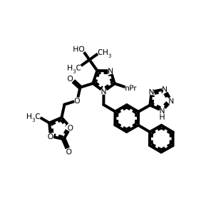 CCCc1nc(C(C)(C)O)c(C(=O)OCc2oc(=O)oc2C)n1Cc1ccc(-c2ccccc2)c(-c2nnn[nH]2)c1